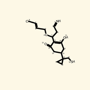 N=CCC(OCC=CCl)C1=C(O)CC(C2(CS)CC2)CC1=O